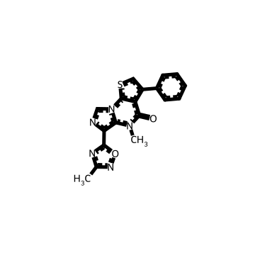 Cc1noc(-c2ncn3c4scc(-c5ccccc5)c4c(=O)n(C)c23)n1